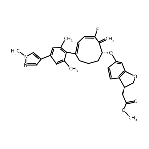 C=C1/C(F)=C\C=C(\c2c(C)cc(-c3cnn(C)c3)cc2C)CCC[C@H]1Oc1ccc2c(c1)OC[C@H]2CC(=O)OC